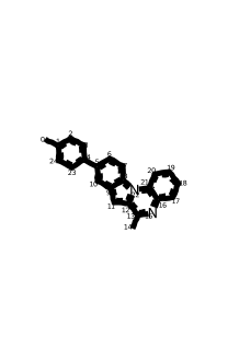 Cc1ccc(-c2ccc3c(c2)cc2c(C)nc4ccccc4n23)cc1